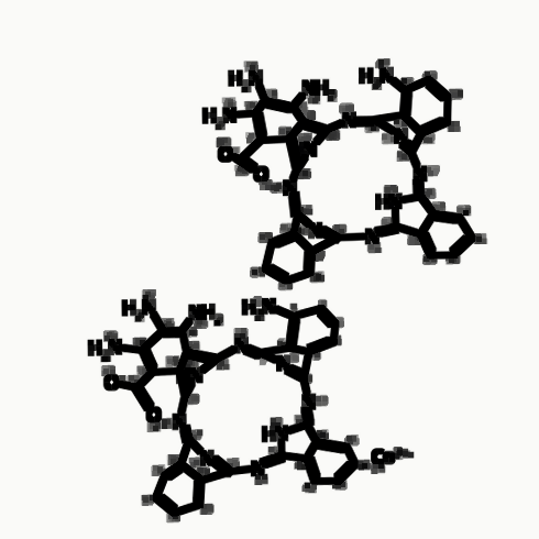 Nc1cccc2c1-c1nc-2nc2[nH]c(nc3nc(nc4[nH]c(n1)c1c(N)c(N)c(N)c(C(=O)[O-])c41)-c1ccccc1-3)c1ccccc21.Nc1cccc2c1-c1nc-2nc2[nH]c(nc3nc(nc4[nH]c(n1)c1c(N)c(N)c(N)c(C(=O)[O-])c41)-c1ccccc1-3)c1ccccc21.[Co+2]